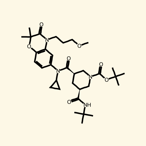 COCCCN1C(=O)C(C)(C)Oc2ccc(N(C(=O)[C@@H]3C[C@H](C(=O)NC(C)(C)C)CN(C(=O)OC(C)(C)C)C3)C3CC3)cc21